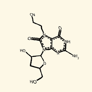 N#CCCn1c(=O)n(C2OC(CO)CC2O)c2nc(N)[nH]c(=O)c21